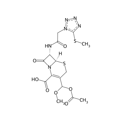 COC(OC(C)=O)C1=C(C(=O)O)N2C(=O)[C@H](NC(=O)Cn3nnnc3SC)[C@H]2SC1